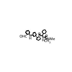 CN[C@@H](C)C(=O)N[C@H](C(=O)N1CCC[C@H]1c1cccc(Nc2ccccc2C=O)c1)C1CCCCC1